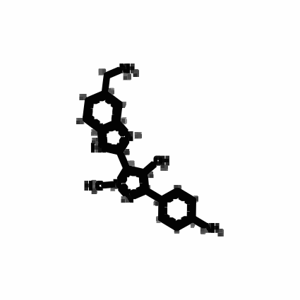 Cn1nc(-c2ccc(N)cc2)c(O)c1-c1nc2cc(CN)ccc2[nH]1